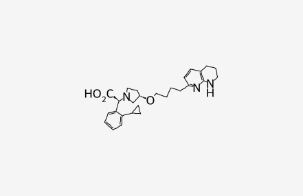 O=C(O)[C@H](c1ccccc1C1CC1)N1CC[C@@H](OCCCCc2ccc3c(n2)NCCC3)C1